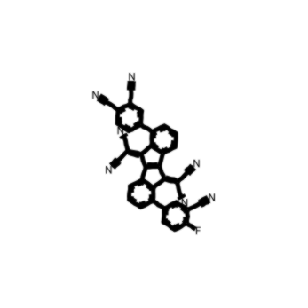 N#CC(C#N)=C1C2=C(C(=C(C#N)C#N)c3c2cccc3-c2ccc(C#N)c(C#N)c2)c2cccc(-c3ccc(F)c(C#N)c3)c21